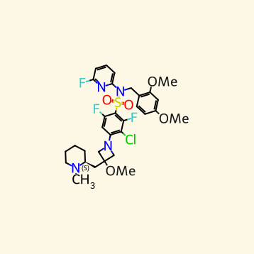 COc1ccc(CN(c2cccc(F)n2)S(=O)(=O)c2c(F)cc(N3CC(C[C@@H]4CCCCN4C)(OC)C3)c(Cl)c2F)c(OC)c1